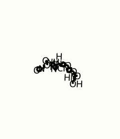 Cc1c(NC(=O)OCCN2CCOCC2)cn2ncc(C#N)c(Nc3ccc(Oc4cccc(OC(C)(C)C(=O)NCCO)c4)cc3)c12